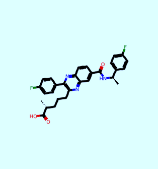 C[C@H](CCCc1nc2cc(C(=O)N[C@H](C)c3ccc(F)cc3)ccc2nc1-c1ccc(F)cc1)C(=O)O